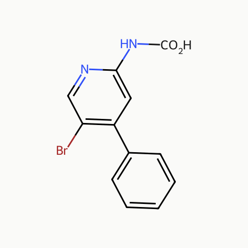 O=C(O)Nc1cc(-c2ccccc2)c(Br)cn1